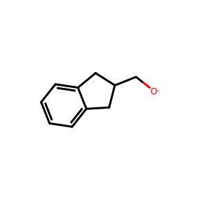 [O]CC1Cc2ccccc2C1